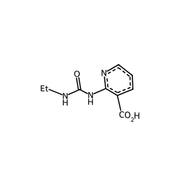 CCNC(=O)Nc1ncccc1C(=O)O